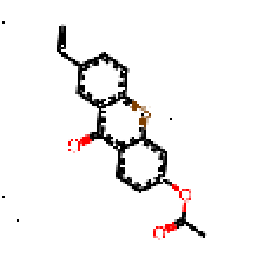 C=Cc1ccc2sc3cc(OC(C)=O)ccc3c(=O)c2c1